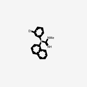 CCc1cccc(N(C(=N)NC)c2cccc3ccccc23)c1